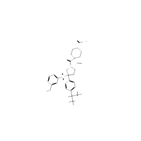 CC[C@]1(C(=O)N2CCC(c3ccc(C(F)(C(F)(F)F)C(F)(F)F)cc3)(S(=O)(=O)c3cccc(CF)c3)C2)CC[C@H](C(=O)O)CC1